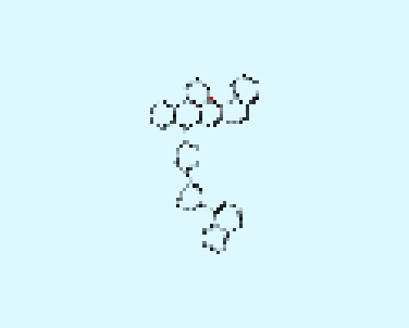 c1ccc(-c2ccccc2N(c2ccc(-c3cccc(-c4cccc5ccccc45)c3)cc2)c2ccc3c(ccc4ccccc43)c2)cc1